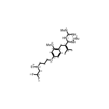 CCCCNC(NC(N)NC)C(Cc1ccc(OCCCN(CC)CC(F)F)cc1OC)=C(C)C